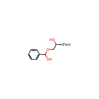 CCCCC[C@H](O)COC(O)c1ccccc1